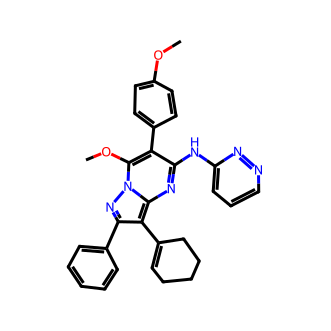 COc1ccc(-c2c(Nc3cccnn3)nc3c(C4=CCCCC4)c(-c4ccccc4)nn3c2OC)cc1